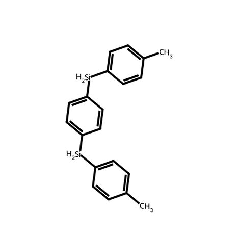 Cc1ccc([SiH2]c2ccc([SiH2]c3ccc(C)cc3)cc2)cc1